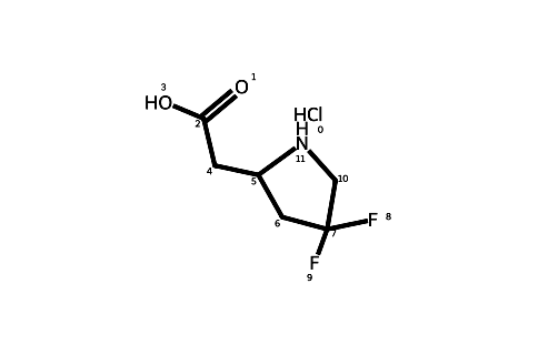 Cl.O=C(O)CC1CC(F)(F)CN1